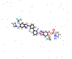 Cc1c(-c2nc3cc(COC(=O)[C@@H]4CCCN4)c(OC(F)F)cc3o2)cccc1-c1cccc(-c2nc3cc(CN4CCC4)c(OC(F)F)cc3o2)c1C